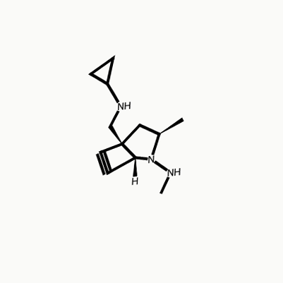 CNN1[C@H](C)C[C@@]2(CNC3CC3)C#C[C@@H]12